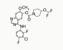 COc1cc2ncnc(Nc3ccc(F)c(Cl)c3F)c2cc1OC(=O)N1CCC(OC(F)F)CC1